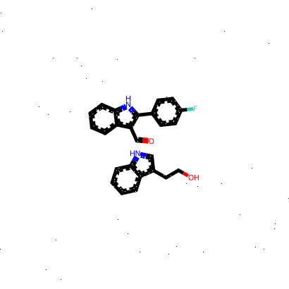 O=Cc1c(-c2ccc(F)cc2)[nH]c2ccccc12.OCCc1c[nH]c2ccccc12